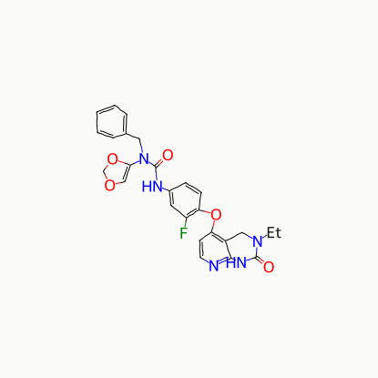 CCN1Cc2c(Oc3ccc(NC(=O)N(Cc4ccccc4)C4=COCO4)cc3F)ccnc2NC1=O